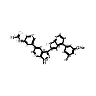 CCC(=O)Nc1cncc(-c2cnc3[nH]nc(-c4cc5c(-c6cc(F)cc(OC)c6)ccnc5[nH]4)c3c2)c1